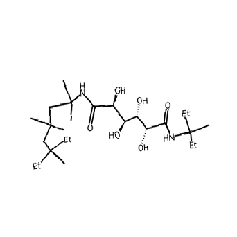 CCC(C)(CC)CC(C)(C)CC(C)(C)NC(=O)[C@@H](O)[C@H](O)[C@H](O)[C@@H](O)C(=O)NC(C)(CC)CC